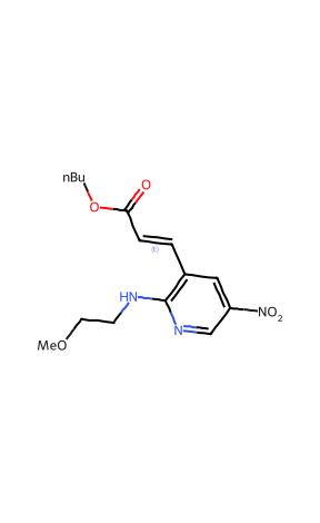 CCCCOC(=O)/C=C/c1cc([N+](=O)[O-])cnc1NCCOC